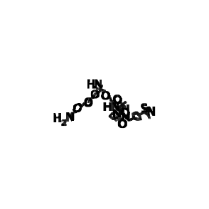 Cc1ncsc1-c1ccc(CNC(=O)[C@@H]2CCCN2C(=O)C(NC(=O)CCOCC2(COCCOCCOCCN)CNC2)C(C)(C)C)cc1